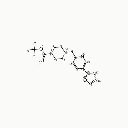 CC(C)(C)OC(=O)N1CCN(Cc2ccc(-c3nnco3)cn2)CC1